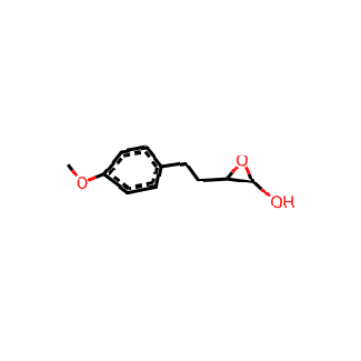 COc1ccc(CCC2OC2O)cc1